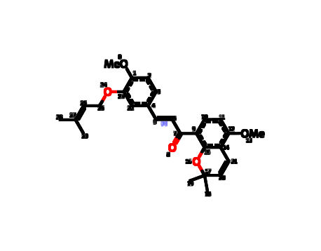 COc1ccc(/C=C/C(=O)c2ccc(OC)c3c2OC(C)(C)C=C3)cc1OCC=C(C)C